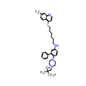 CC(C)(CN1CCN(c2ccc(NCCCCCCSc3ccnc4cc(C(F)(F)F)ccc34)cc2-c2ccccc2)CC1)C(=O)O